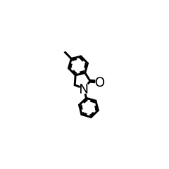 Cc1ccc2c(c1)CN(c1ccccc1)C2=O